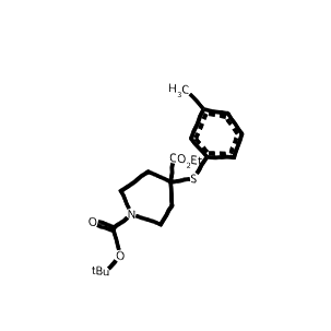 CCOC(=O)C1(Sc2cccc(C)c2)CCN(C(=O)OC(C)(C)C)CC1